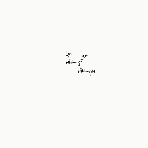 O=C(NO)NO